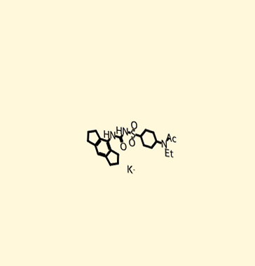 CCN(C(C)=O)C1CCC(S(=O)(=O)NC(=O)Nc2c3c(cc4c2CCC4)CCC3)CC1.[K]